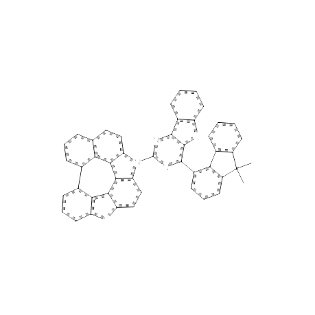 CC1(C)c2ccccc2-c2c(-c3nc(-n4c5ccc6cccc7c6c5c5c6c(ccc54)sc4cccc-7c46)nc4c3oc3ccccc34)cccc21